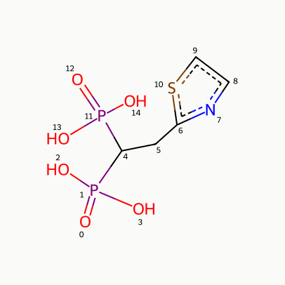 O=P(O)(O)C(Cc1nccs1)P(=O)(O)O